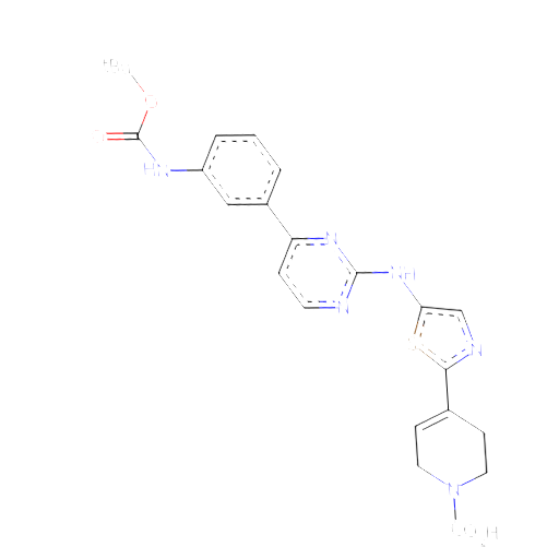 CC(C)(C)OC(=O)Nc1cccc(-c2ccnc(Nc3cnc(C4=CCN(C(=O)O)CC4)s3)n2)c1